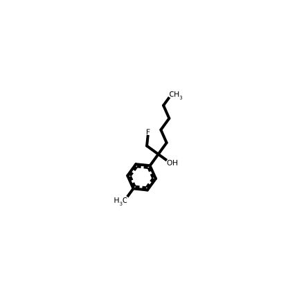 CCCCCC(O)(CF)c1ccc(C)cc1